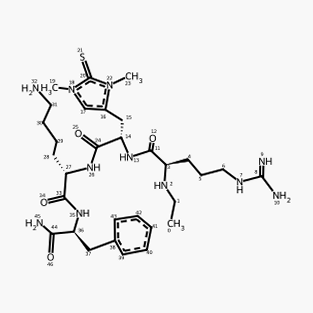 CCN[C@H](CCCNC(=N)N)C(=O)N[C@@H](Cc1cn(C)c(=S)n1C)C(=O)N[C@@H](CCCCN)C(=O)N[C@@H](Cc1ccccc1)C(N)=O